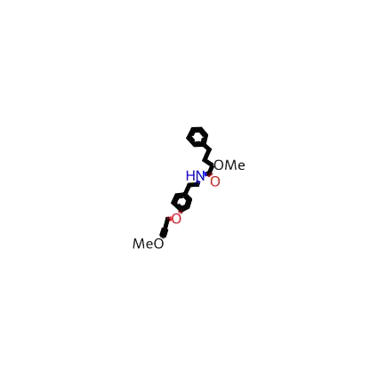 COC#CCOc1ccc(CCNC(=O)C(CCc2ccccc2)OC)cc1